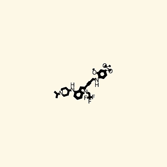 COc1cc(S(C)(=O)=O)ccc1NCC#Cc1cc2c(NC3CCN(C(C)C)CC3)cccc2n1CC(F)(F)F